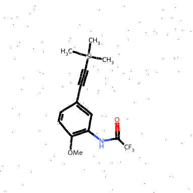 COc1ccc(C#C[Si](C)(C)C)cc1NC(=O)C(F)(F)F